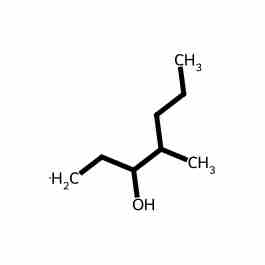 [CH2]CC(O)C(C)CCC